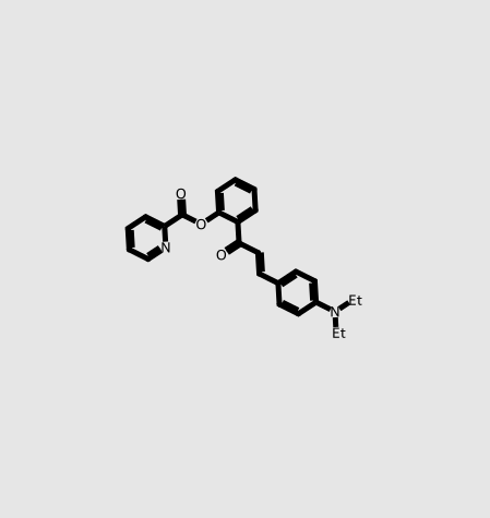 CCN(CC)c1ccc(C=CC(=O)c2ccccc2OC(=O)c2ccccn2)cc1